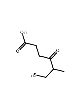 CC(CS)C(=O)CCC(=O)O